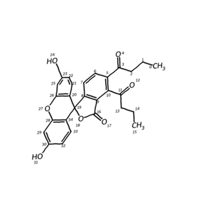 CCCC(=O)c1ccc2c(c1C(=O)CCC)C(=O)OC21c2ccc(O)cc2Oc2cc(O)ccc21